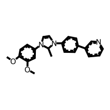 COc1ccc(N2C=CN(c3ccc(-c4cccnc4)cc3)C2C)cc1OC